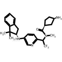 CN(C(=O)[C@H]1CC[C@@H](N)C1)C(c1ccc(N[C@H]2Cc3ccccc3C2(C)C)cn1)C(F)(F)F